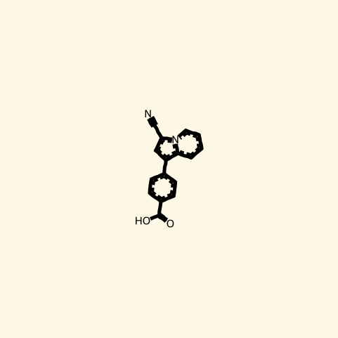 N#Cc1cc(-c2ccc(C(=O)O)cc2)c2ccccn12